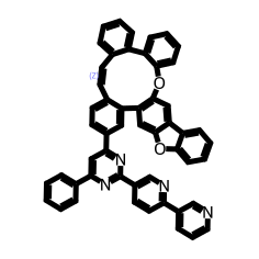 C1=C\c2ccc(-c3cc(-c4ccccc4)nc(-c4ccc(-c5cccnc5)nc4)n3)cc2-c2cc3oc4ccccc4c3cc2Oc2ccccc2-c2ccccc2/1